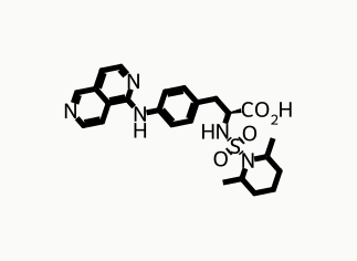 CC1CCCC(C)N1S(=O)(=O)N[C@@H](Cc1ccc(Nc2nccc3cnccc23)cc1)C(=O)O